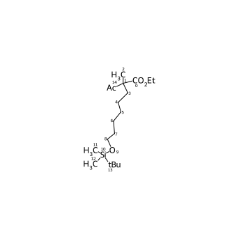 CCOC(=O)C(C)(CCCCCCO[Si](C)(C)C(C)(C)C)C(C)=O